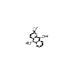 COc1ccc2c(O)c3ccccc3c(O)c2c1